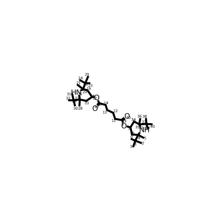 CC(C)(C)C1(C)CC(OC(=O)CCCCC(=O)OC2CC(C)(C(C)(C)C)NC(C)(C(C)(C)C)C2)CC(C)(C(C)(C)C)N1